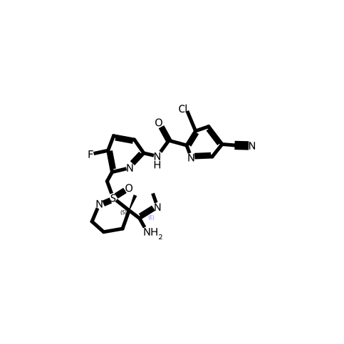 C/N=C(/N)[C@]1(C)CCCN=S1(=O)Cc1nc(NC(=O)c2ncc(C#N)cc2Cl)ccc1F